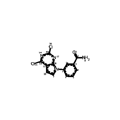 NC(=O)c1cccc(-n2ccc3c(Cl)nc(Cl)nc32)c1